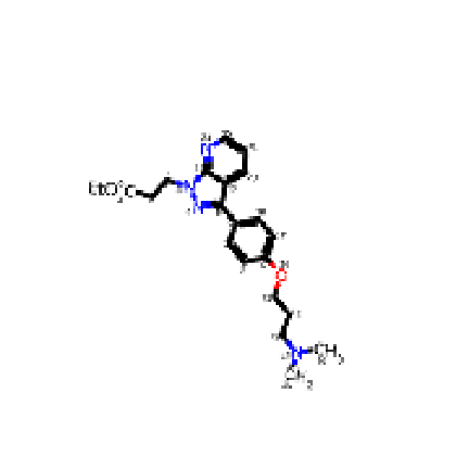 CCOC(=O)CCn1nc(-c2ccc(OCCCN(C)C)cc2)c2cccnc21